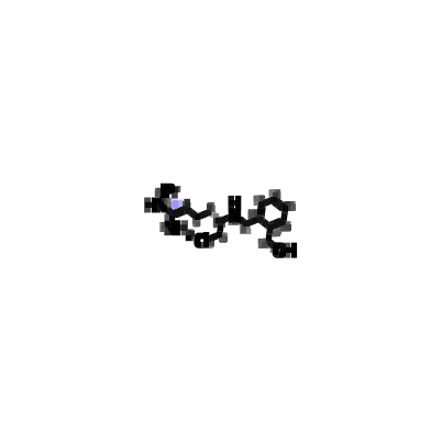 CC(C)N/C(N)=C/CC[C@@H](CCl)NCc1ccccc1CO